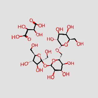 O=C(O)C(O)C(O)C(=O)O.OC[C@H]1O[C@H](OC[C@H]2O[C@H](O[C@]3(CO)O[C@H](CO)[C@@H](O)[C@@H]3O)[C@H](O)[C@@H](O)[C@@H]2O)[C@H](O)[C@@H](O)[C@H]1O